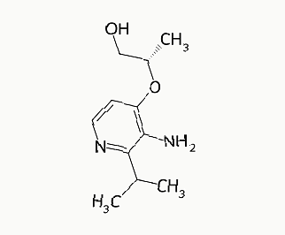 CC(C)c1nccc(O[C@@H](C)CO)c1N